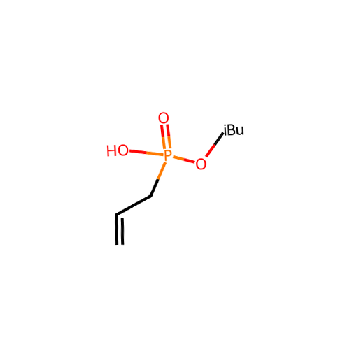 C=CCP(=O)(O)OC(C)CC